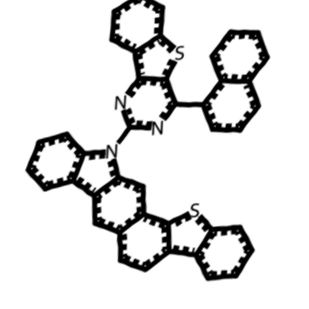 c1ccc2c(-c3nc(-n4c5ccccc5c5cc6ccc7c8ccccc8sc7c6cc54)nc4c3sc3ccccc34)cccc2c1